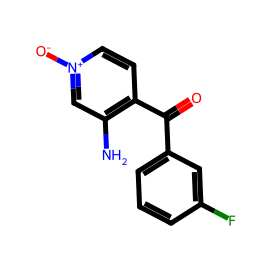 Nc1c[n+]([O-])ccc1C(=O)c1cccc(F)c1